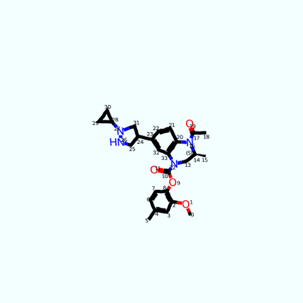 COc1cc(C)ccc1OC(=O)N1C[C@H](C)N(C(C)=O)c2ccc(C3CNN(C4CC4)C3)cc21